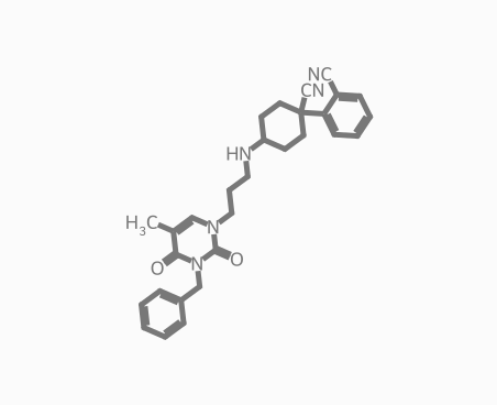 Cc1cn(CCCNC2CCC(C#N)(c3ccccc3C#N)CC2)c(=O)n(Cc2ccccc2)c1=O